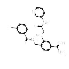 N=C(N)c1ccc(CNC(=O)c2cccc(Cl)c2)c(NCC(=O)Nc2cccnc2)c1